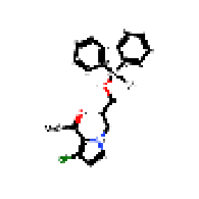 COC(=O)c1c(Cl)ccn1CCCO[Si](c1ccccc1)(c1ccccc1)C(C)(C)C